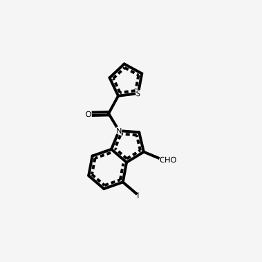 O=Cc1cn(C(=O)c2cccs2)c2cccc(I)c12